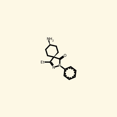 CCC1=NN(c2ccccc2)C(=O)[C@]12CC[C@H](N)CC2